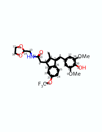 COc1cc(/C=C2/C(C)=C(CC(=O)NCC3OCCO3)c3cc(OC(F)(F)F)ccc32)cc(OC)c1O